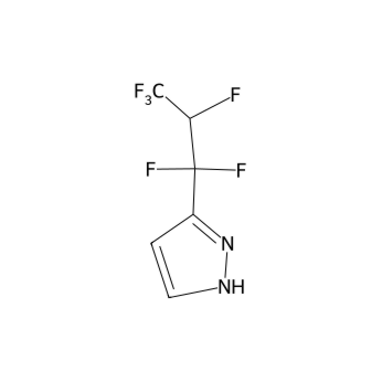 FC(C(F)(F)F)C(F)(F)c1cc[nH]n1